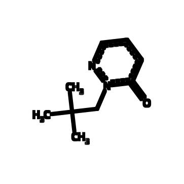 CC(C)(C)Cn1ncccc1=O